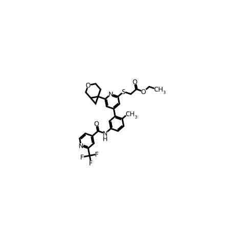 CCOC(=O)CSc1cc(-c2cc(NC(=O)c3ccnc(C(F)(F)F)c3)ccc2C)cc(C23CCOCC2C3)n1